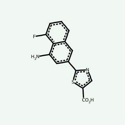 Nc1cc(-c2ncc(C(=O)O)s2)cc2cccc(F)c12